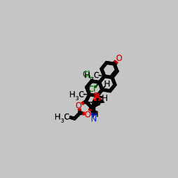 CCC1O[C@@H]2C[C@H]3[C@@H]4CCC5=CC(=O)CC[C@]5(C)[C@@]4(Cl)[C@@H](Cl)C[C@]3(C)[C@]2(C2(C#N)CO2)O1